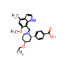 CCO[C@H]1CCN(Cc2c(OC)cc(C)c3cc[nH]c23)[C@H](c2ccc(C(=O)O)cc2)C1